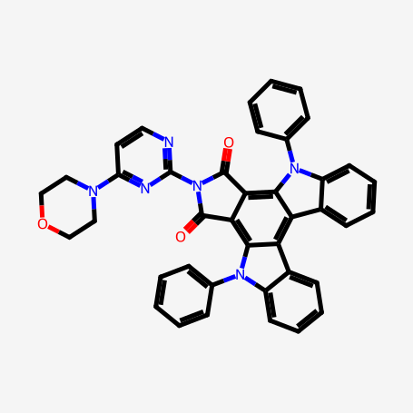 O=C1c2c(c3c(c4ccccc4n3-c3ccccc3)c3c4ccccc4n(-c4ccccc4)c23)C(=O)N1c1nccc(N2CCOCC2)n1